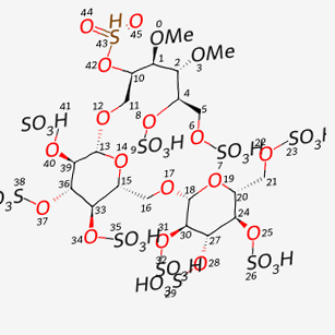 CO[C@@H]([C@H](OC)[C@@H](COS(=O)(=O)O)OS(=O)(=O)O)[C@@H](CO[C@@H]1O[C@H](CO[C@@H]2O[C@H](COS(=O)(=O)O)[C@@H](OS(=O)(=O)O)[C@H](OS(=O)(=O)O)[C@H]2OS(=O)(=O)O)[C@@H](OS(=O)(=O)O)[C@H](OS(=O)(=O)O)[C@H]1OS(=O)(=O)O)O[SH](=O)=O